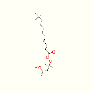 CC(O)CC(C)(C)OOC(=O)CCCCCCCCC(C)(C)C